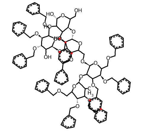 CC1C(OCc2ccccc2)[C@H](OCc2ccccc2)C(COCc2ccccc2)O[C@H]1OC1C(OCc2ccccc2)[C@H](OCc2ccccc2)C(COCc2ccccc2)O[C@@H]1OCC1O[C@@H](O[C@@H]2C(CO)O[C@@H](O)C(O)C2OCc2ccccc2)C(O)C(O[C@@H]2OC(COCc3ccccc3)[C@H](OCc3ccccc3)[C@@H](OCc3ccccc3)C2O)[C@@H]1OCc1ccccc1